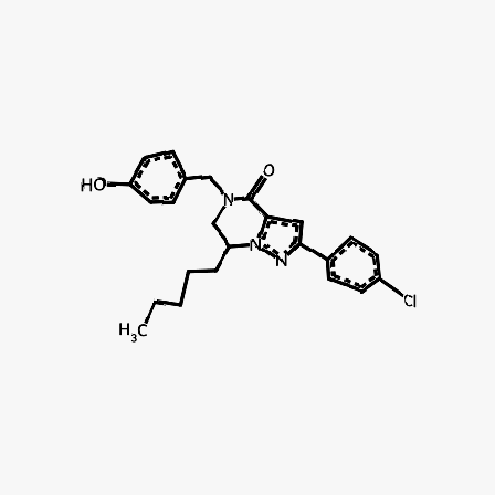 CCCCCC1CN(Cc2ccc(O)cc2)C(=O)c2cc(-c3ccc(Cl)cc3)nn21